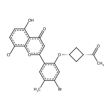 Cc1cc(-c2cc(=O)c3c(O)ccc(Cl)c3o2)c(O[C@H]2C[C@@H](C(C)=O)C2)cc1Br